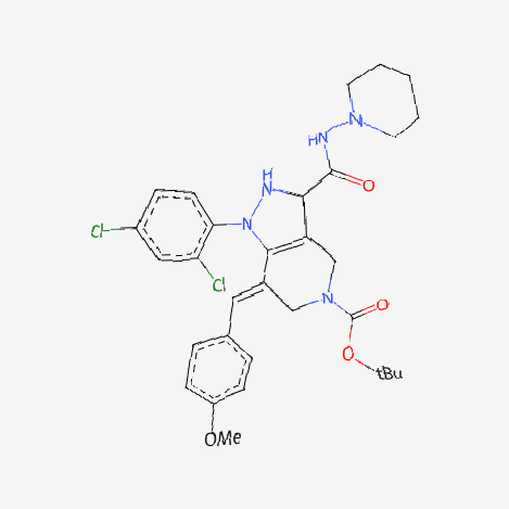 COc1ccc(/C=C2\CN(C(=O)OC(C)(C)C)CC3=C2N(c2ccc(Cl)cc2Cl)NC3C(=O)NN2CCCCC2)cc1